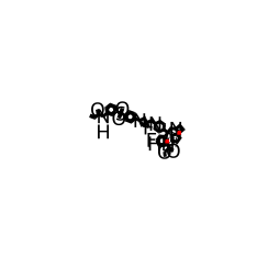 C=CC(=O)Nc1cccc(S(=O)(=O)c2ccc(N3CC(F)(CN4CCC(C(CN5CCC5)(c5cccc(F)c5)[C@H]5CCC[C@@H]5NC(=O)OC)CC4)C3)cc2)c1